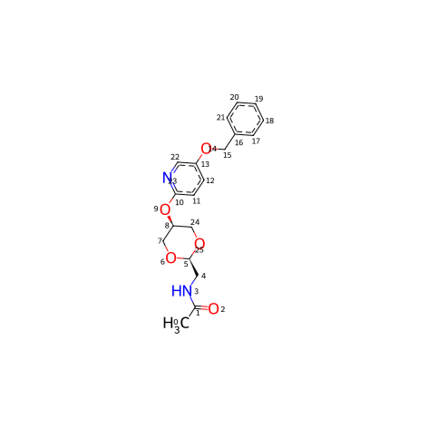 CC(=O)NC[C@H]1OC[C@@H](Oc2ccc(OCc3ccccc3)cn2)CO1